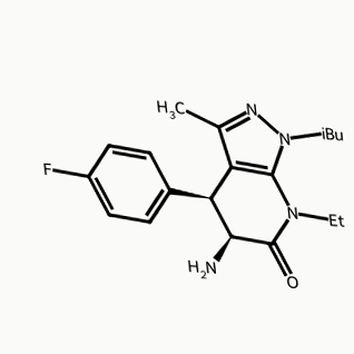 CCC(C)n1nc(C)c2c1N(CC)C(=O)[C@@H](N)[C@H]2c1ccc(F)cc1